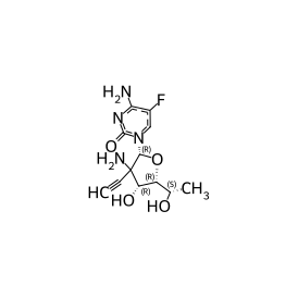 C#CC1(N)[C@@H](O)[C@@H]([C@H](C)O)O[C@H]1n1cc(F)c(N)nc1=O